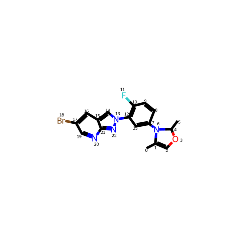 CC1=COC(C)N1c1ccc(F)c(-n2cc3cc(Br)cnc3n2)c1